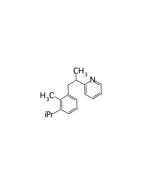 Cc1c(CC(C)c2ccccn2)cccc1C(C)C